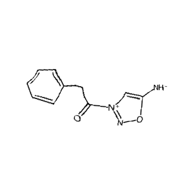 [NH-]c1c[n+](C(=O)Cc2ccccc2)no1